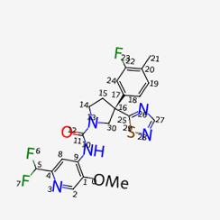 COc1cnc(C(F)F)cc1NC(=O)N1CC[C@](c2ccc(C)c(F)c2)(c2ncns2)C1